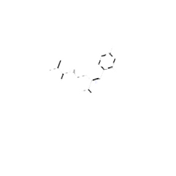 C=C(C)C(=O)NCC/C(=C\c1ccc(F)cc1Cl)C(=O)O